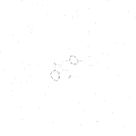 CCN(CC)c1ccc(CC2C(=O)c3ccccc3C2NC(=O)O)cc1